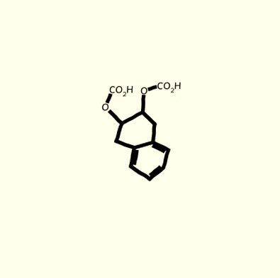 O=C(O)OC1Cc2ccccc2CC1OC(=O)O